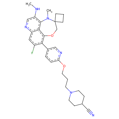 CNc1cnc2cc(F)c(-c3ccc(OCCCN4CCC(C#N)CC4)nc3)c3c2c1N(C)C1(CCC1)CO3